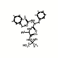 CC(C)C(NC(=O)C(Cc1ccccc1)NC(=O)OCc1ccccc1)C(=O)NC(C)(C(=O)O)C(C)C